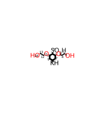 O=S(=O)(O)c1c(OCCO)cccc1OCCO.[KH]